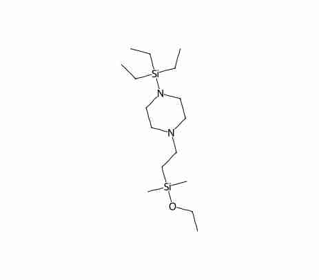 CCO[Si](C)(C)CCN1CCN([Si](CC)(CC)CC)CC1